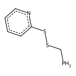 PCSSc1ccccn1